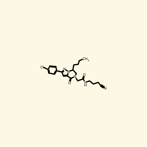 CCCCC1CN(CC(=O)NCCCC#N)C(=O)c2cc(-c3ccc(Cl)cc3)nn21